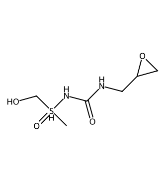 C[SH](=O)(CO)NC(=O)NCC1CO1